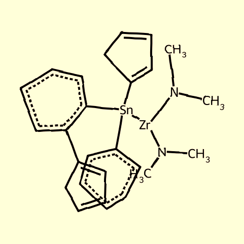 C[N](C)[Zr]([N](C)C)[Sn]([C]1=CC=CC1)([c]1ccccc1)[c]1ccccc1C1=CC=CC1